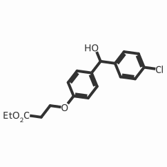 CCOC(=O)CCOc1ccc(C(O)c2ccc(Cl)cc2)cc1